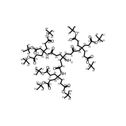 CC(C)(C)OC(=O)CCC(CCC(=O)OC(C)(C)C)(CCC(=O)OC(C)(C)C)CC(=O)CCC(N)(CCC(=O)NC(CCC(=O)OC(C)(C)C)(CCC(=O)OC(C)(C)C)CCC(=O)OC(C)(C)C)CCC(=O)NC(CCC(=O)OC(C)(C)C)(CCC(=O)OC(C)(C)C)CC(=O)OC(C)(C)C